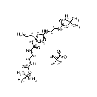 CC(C)(C)OC(=O)NCCNC(=O)C[N+](C)(CCN)CC(=O)NCCNC(=O)OC(C)(C)C.O=C([O-])C(F)(F)F